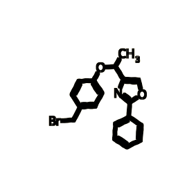 CC(Oc1ccc(CBr)cc1)c1coc(-c2ccccc2)n1